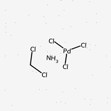 ClCCl.N.[Cl][Pd]([Cl])[Cl]